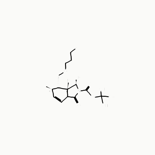 CCCCOC[C@@H]1[C@H]2C(C=C[C@H]1C)C(=O)N(C(=O)OC(C)(C)C)[C@@H]2C